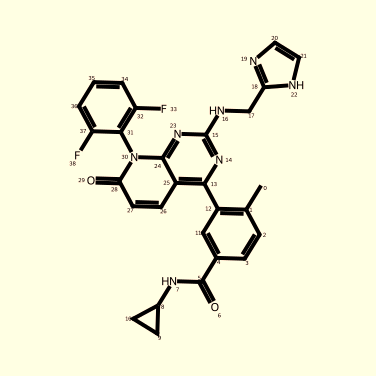 Cc1ccc(C(=O)NC2CC2)cc1-c1nc(NCc2ncc[nH]2)nc2c1ccc(=O)n2-c1c(F)cccc1F